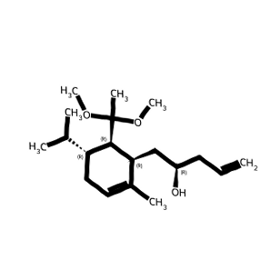 C=CC[C@@H](O)C[C@H]1C(C)=CC[C@H](C(C)C)[C@H]1C(C)(OC)OC